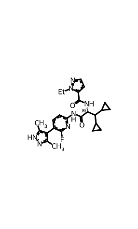 CCn1nccc1C(=O)N[C@@H](C(=O)Nc1ccc(-c2c(C)n[nH]c2C)c(F)n1)C(C1CC1)C1CC1